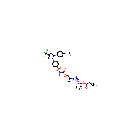 CCC(=O)OC(C)O/N=N\N1CC[C@H]1COC(=O)NS(=O)(=O)c1ccc(-n2nc(C(F)(F)F)cc2-c2ccc(C)cc2)cc1